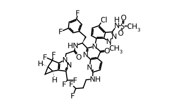 Cn1nc(NS(C)(=O)=O)c2c(Cl)ccc(-n3c([C@H](Cc4cc(F)cc(F)c4)NC(=O)Cn4nc(C(F)F)c5c4C(F)(F)[C@@H]4C[C@H]54)nc4nc(NCCC(F)F)ccc4c3=O)c21